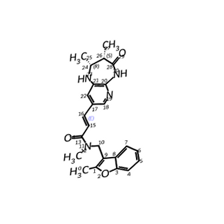 Cc1oc2ccccc2c1CN(C)C(=O)/C=C/c1cnc2c(c1)N[C@H](C)[C@H](C)C(=O)N2